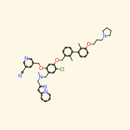 Cc1c(COc2cc(OCc3cncc(C#N)c3)c(CN(C)Cc3cc4ccccn4n3)cc2Cl)cccc1-c1cccc(OCCCN2CCCC2)c1C